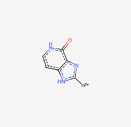 CCCc1nc2c(=O)[nH]ccc2[nH]1